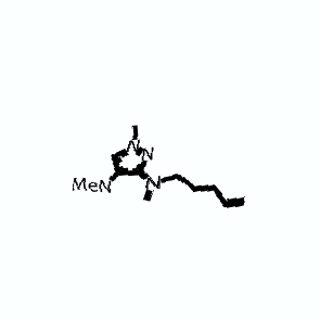 C=CCCCN(C)c1nn(C)cc1NC